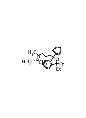 CCC1(CC)OC(CCCN(C)[C@@H](C)C(=O)O)(c2ccccc2)c2ccccc21